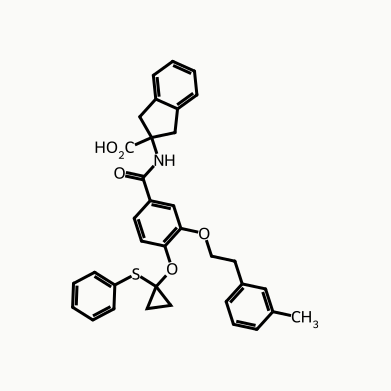 Cc1cccc(CCOc2cc(C(=O)NC3(C(=O)O)Cc4ccccc4C3)ccc2OC2(Sc3ccccc3)CC2)c1